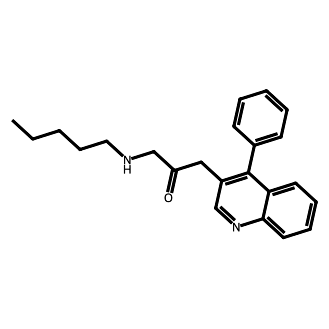 CCCCCNCC(=O)Cc1cnc2ccccc2c1-c1ccccc1